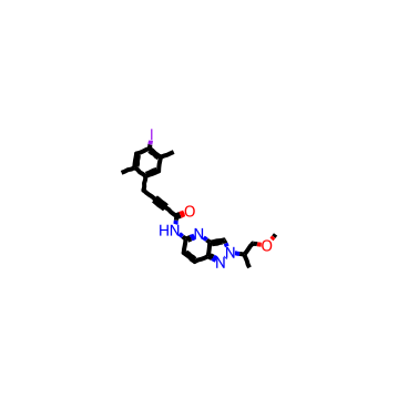 COCC(C)n1cc2nc(NC(=O)C#CCc3cc(C)c(I)cc3C)ccc2n1